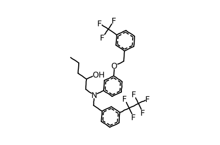 CCCC(O)CN(Cc1cccc(C(F)(F)C(F)(F)F)c1)c1cccc(OCc2cccc(C(F)(F)F)c2)c1